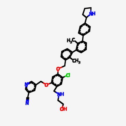 Cc1c(COc2cc(OCc3cncc(C#N)c3)c(CNCCO)cc2Cl)cccc1-c1cccc(-c2ccc(C3CCCN3)cc2)c1C